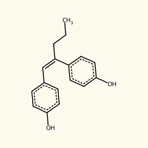 CCCC(=Cc1ccc(O)cc1)c1ccc(O)cc1